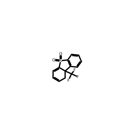 O=S1(=O)C2=CC=CCC2(C(F)(F)F)c2ccc[c]c21